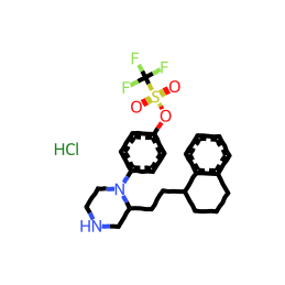 Cl.O=S(=O)(Oc1ccc(N2CCNCC2CCC2CCCc3ccccc32)cc1)C(F)(F)F